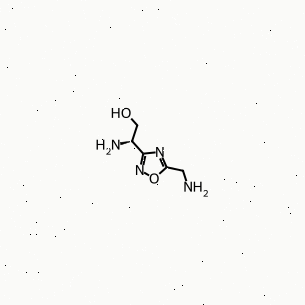 NCc1nc([C@@H](N)CO)no1